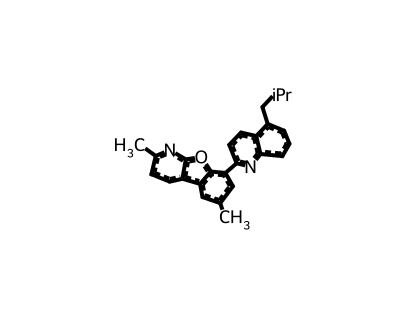 Cc1cc(-c2ccc3c(CC(C)C)cccc3n2)c2oc3nc(C)ccc3c2c1